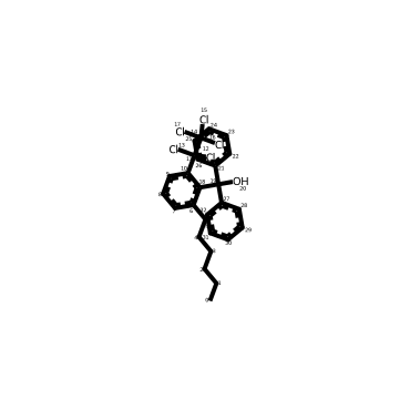 CCCCCCc1cccc(C(Cl)(Cl)C(Cl)(Cl)Cl)c1C(O)(c1ccccc1)c1ccccc1